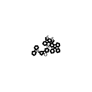 c1ccc(C2(c3ccccc3)c3ccccc3-c3cc4c(cc32)N(c2ccc3oc5ccc(-n6c7ccccc7c7ccccc76)cc5c3c2)c2ccccc2C42c3ccsc3-c3sccc32)cc1